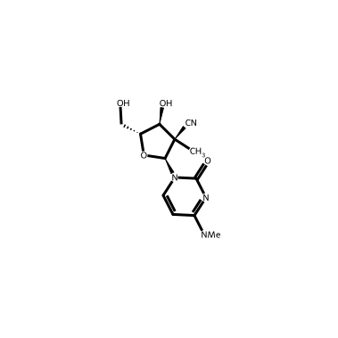 CNc1ccn([C@H]2O[C@H](CO)[C@@H](O)[C@@]2(C)C#N)c(=O)n1